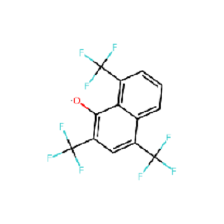 [O]c1c(C(F)(F)F)cc(C(F)(F)F)c2cccc(C(F)(F)F)c12